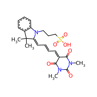 CN1C(=O)C(=CC=CC=C2N(CCCS(=O)(=O)O)c3ccccc3C2(C)C)C(=O)N(C)C1=O